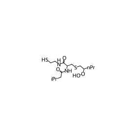 CCCC(CSCC(NC(=O)CC(C)C)C(=O)NCCS)OO